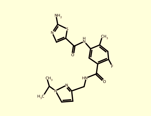 Cc1cc(F)c(C(=O)NCc2ccn(C(C)C)n2)cc1NC(=O)c1cnc(N)s1